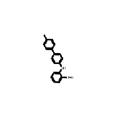 Cc1ccc(-c2ccc(Nc3ccccc3C=O)cc2)cc1